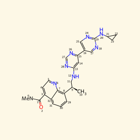 CNC(=O)c1ccnc2c([C@H](C)CNc3cc(-c4cnc(NC5CC5)nc4)ncn3)cccc12